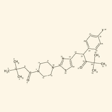 CC(C)(C)CC(=O)N1CCN(c2nc(CC(C(=O)C(C)(C)C)c3ccc(F)cc3)cs2)CC1